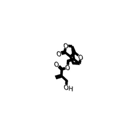 C=C(CO)C(=O)OCC1C2CC3C(=O)OC1C3O2